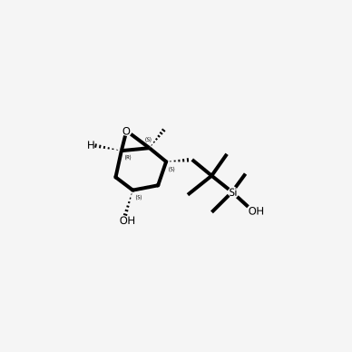 CC(C)(C[C@@H]1C[C@H](O)C[C@H]2O[C@@]12C)[Si](C)(C)O